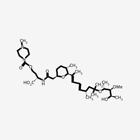 CO[C@@H]([C@@H](C)O)[C@@H](C)OC(C)(C)C[C@H](C)/C=C/C=C(\C)[C@H]1O[C@@H](CC(=O)N[C@@H](CCOC(=O)N2CCN(C)CC2)C(=O)O)CC[C@@H]1C